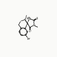 CC1CCc2ccc(Br)cc2C12NC(=S)N(C)C2=O